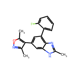 Cc1nc2c(-c3ccccc3F)cc(-c3c(C)noc3C)cc2[nH]1